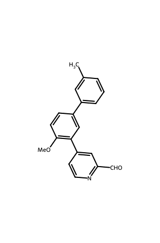 COc1ccc(-c2cccc(C)c2)cc1-c1ccnc(C=O)c1